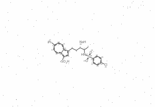 CC(CCCc1cc(S(=O)(=O)O)c2ccc(C(C)C)ccc1-2)NS(=O)(=O)c1ccc(Cl)cc1.[NaH]